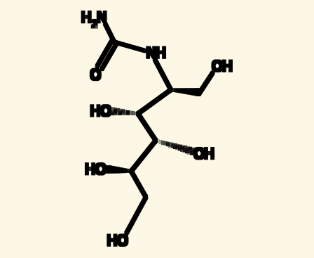 NC(=O)N[C@@H](CO)[C@@H](O)[C@H](O)[C@H](O)CO